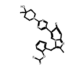 Cc1nc2cc(F)c(-c3cnc(N4CCC(C)(O)CC4)nc3)cn2c1Cc1ccccc1OC(F)F